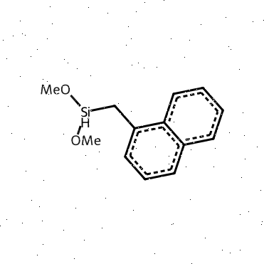 CO[SiH](Cc1cccc2ccccc12)OC